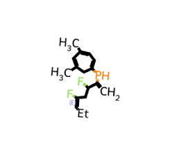 C=C(PC1=CC=C(C)C=C(C)C1)C(F)C/C(F)=C\CC